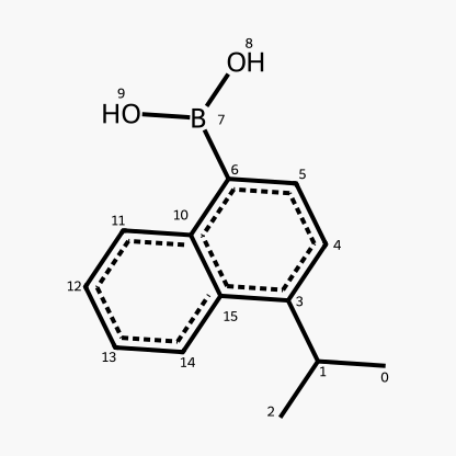 CC(C)c1ccc(B(O)O)c2ccccc12